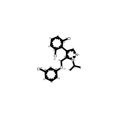 CC(C)n1ncc(-c2c(Cl)cccc2Cl)c1COc1[c]c(Cl)ccc1